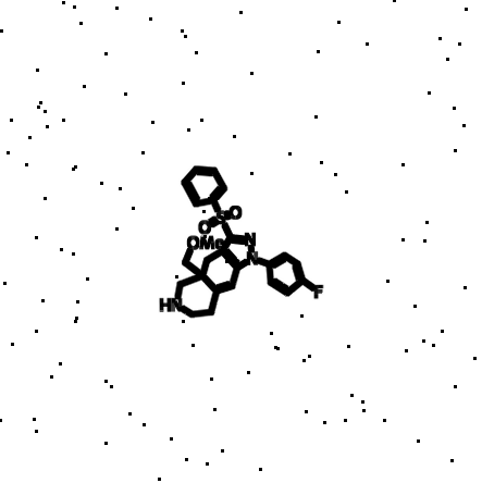 COCC12CNCCC1=Cc1c(c(S(=O)(=O)c3ccccc3)nn1-c1ccc(F)cc1)C2